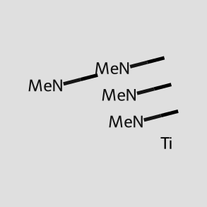 CNC.CNC.CNC.CNC.[Ti]